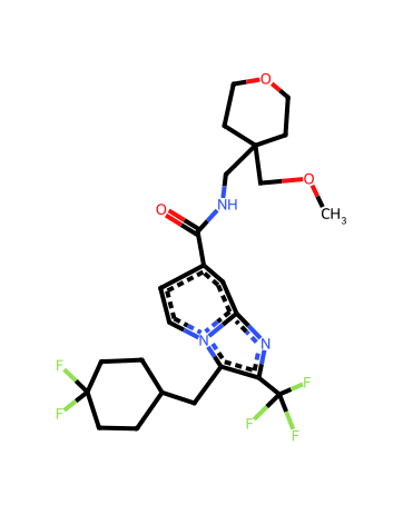 COCC1(CNC(=O)c2ccn3c(CC4CCC(F)(F)CC4)c(C(F)(F)F)nc3c2)CCOCC1